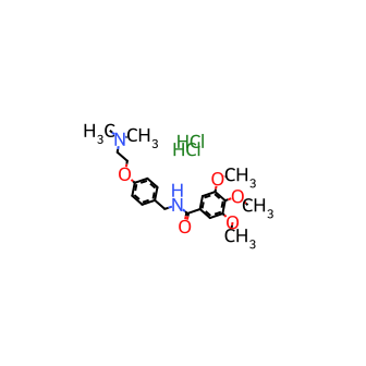 COc1cc(C(=O)NCc2ccc(OCCN(C)C)cc2)cc(OC)c1OC.Cl.Cl